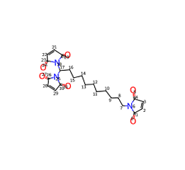 O=C1C=CC(=O)N1CCCCCCCCCCC(N1C(=O)C=CC1=O)N1C(=O)C=CC1=O